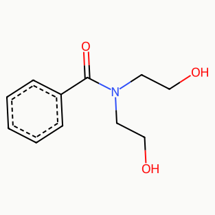 O=C(c1ccccc1)N(CCO)CCO